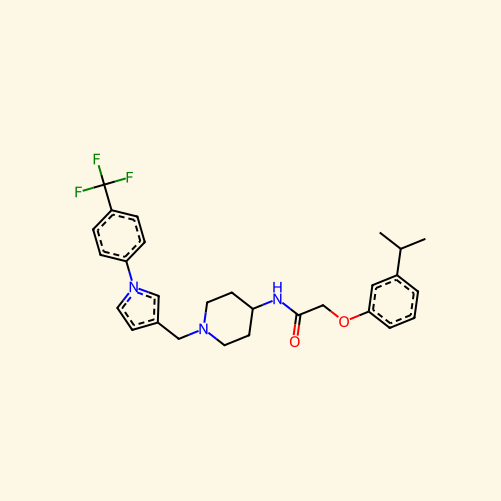 CC(C)c1cccc(OCC(=O)NC2CCN(Cc3ccn(-c4ccc(C(F)(F)F)cc4)c3)CC2)c1